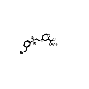 COC(=O)C1C[C@@H](CCS(=O)(=O)c2cccc(CBr)c2)CCO1